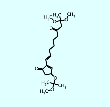 COC(C)(C)OC1C=C(C=CCCCCC(=O)CC(C)(OC)OC)C(=O)C1